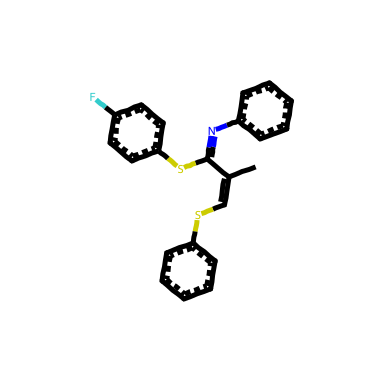 CC(=CSc1ccccc1)C(=Nc1ccccc1)Sc1ccc(F)cc1